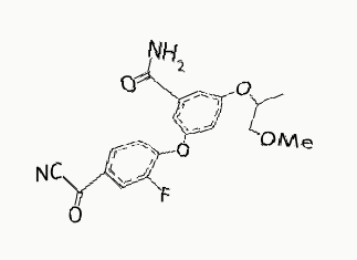 COCC(C)Oc1cc(Oc2ccc(C(=O)C#N)cc2F)cc(C(N)=O)c1